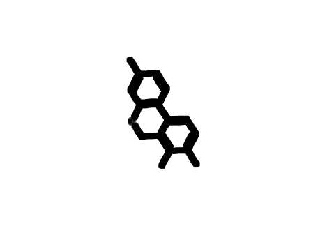 Cc1ccc2c(c1)OCc1c-2ccc(C)c1C